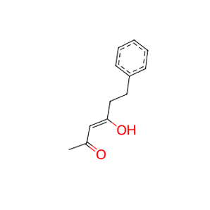 CC(=O)/C=C(\O)CCc1ccccc1